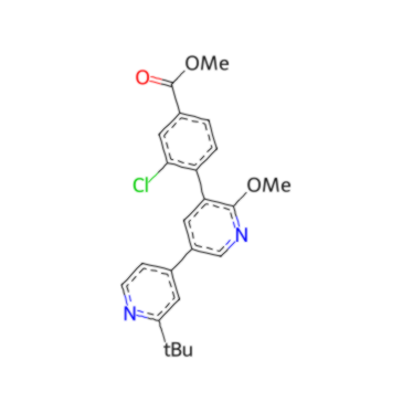 COC(=O)c1ccc(-c2cc(-c3ccnc(C(C)(C)C)c3)cnc2OC)c(Cl)c1